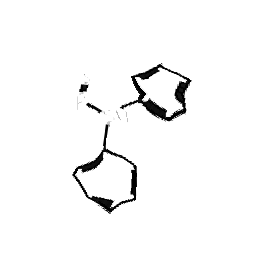 S=P[SH](c1ccccc1)c1ccccc1